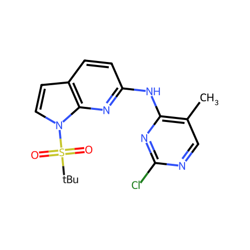 Cc1cnc(Cl)nc1Nc1ccc2ccn(S(=O)(=O)C(C)(C)C)c2n1